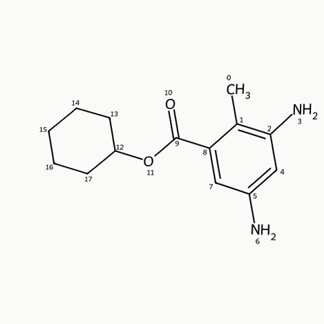 Cc1c(N)cc(N)cc1C(=O)OC1CCCCC1